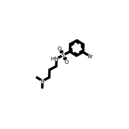 CN(C)CCCNS(=O)(=O)c1cccc(Br)c1